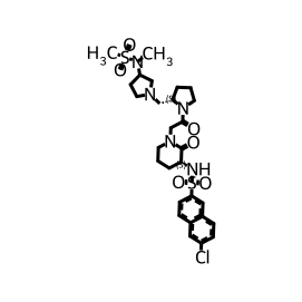 CN(C1CCN(C[C@@H]2CCCN2C(=O)CN2CCC[C@H](NS(=O)(=O)c3ccc4cc(Cl)ccc4c3)C2=O)C1)S(C)(=O)=O